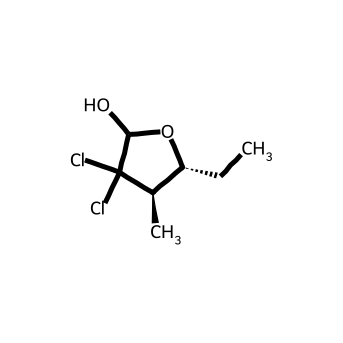 CC[C@H]1OC(O)C(Cl)(Cl)[C@@H]1C